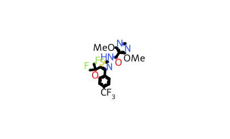 COc1ncnc(OC)c1C(=O)Nc1nc2c(s1)C(CF)(CF)Oc1cc(C(F)(F)F)ccc1-2